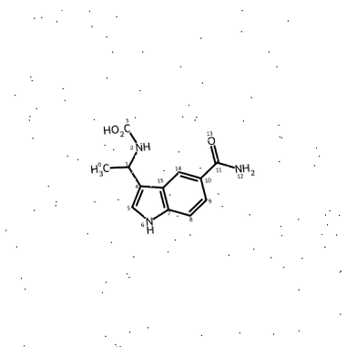 CC(NC(=O)O)c1c[nH]c2ccc(C(N)=O)cc12